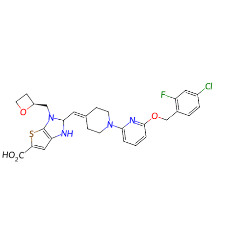 O=C(O)c1cc2c(s1)N(C[C@@H]1CCO1)C(C=C1CCN(c3cccc(OCc4ccc(Cl)cc4F)n3)CC1)N2